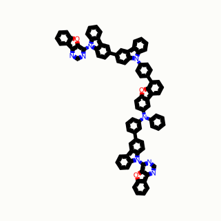 c1ccc(N(c2cccc(-c3ccc4c(c3)c3ccccc3n4-c3ncnc4c3oc3ccccc34)c2)c2ccc3oc4c(-c5ccc(-n6c7ccccc7c7cc(-c8ccc9c(c8)c8ccccc8n9-c8ncnc9c8oc8ccccc89)ccc76)cc5)cccc4c3c2)cc1